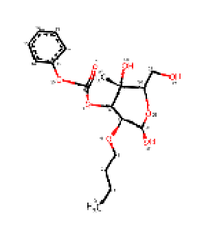 CCCCO[C@H]1C(OC(=O)Oc2ccccc2)[C@](C)(O)C(CO)O[C@H]1O